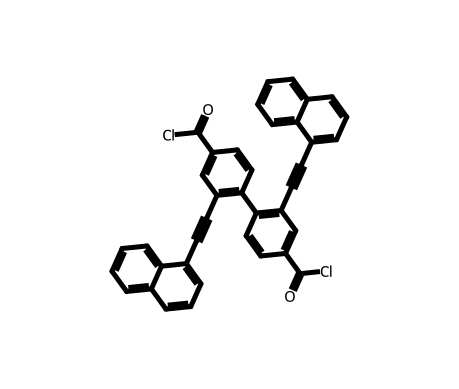 O=C(Cl)c1ccc(-c2ccc(C(=O)Cl)cc2C#Cc2cccc3ccccc23)c(C#Cc2cccc3ccccc23)c1